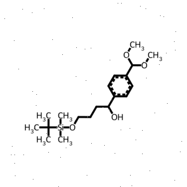 COC(OC)c1ccc(C(O)CCCO[Si](C)(C)C(C)(C)C)cc1